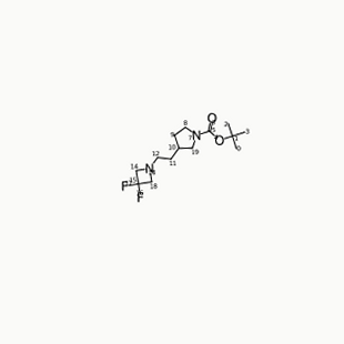 CC(C)(C)OC(=O)N1CCC(CCN2CC(F)(F)C2)C1